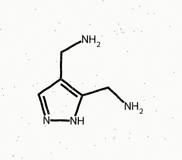 NCc1cn[nH]c1CN